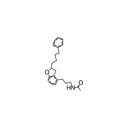 CC(=O)NCCCc1cccc2c1CC(CCCCc1ccccc1)O2